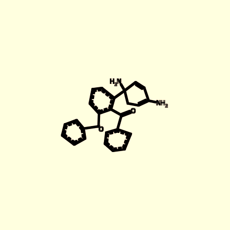 NC1=CCC(N)(c2cccc(C(=O)c3ccccc3)c2C(=O)c2ccccc2)C=C1